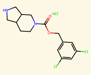 Cl.O=C(OCc1cc(Cl)cc(Cl)c1)N1CCC2CNCC2C1